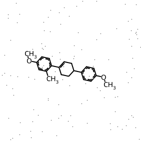 COc1ccc(C2CC=C(c3ccc(OC)cc3C)CC2)cc1